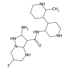 CC1NCCCC1C1CCNCC1NC(=O)C1C(N)NN2CC(F)CNC12